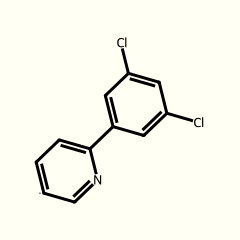 Clc1cc(Cl)cc(-c2cc[c]cn2)c1